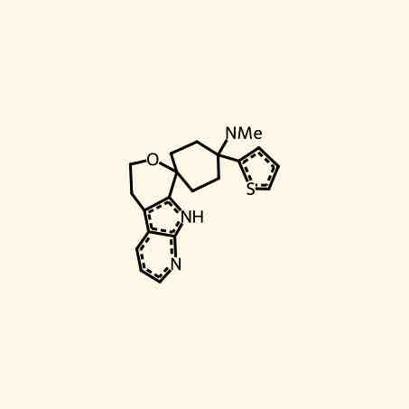 CNC1(c2cccs2)CCC2(CC1)OCCc1c2[nH]c2ncccc12